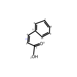 O=C(O)/C=C\c1ccccc1